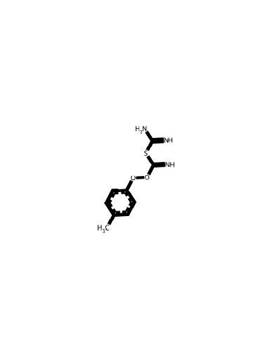 Cc1ccc(OOC(=N)SC(=N)N)cc1